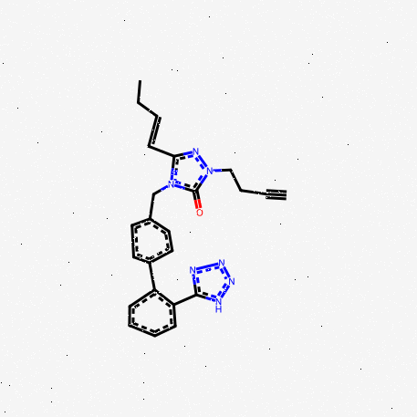 C#CCCn1nc(/C=C/CC)n(Cc2ccc(-c3ccccc3-c3nnn[nH]3)cc2)c1=O